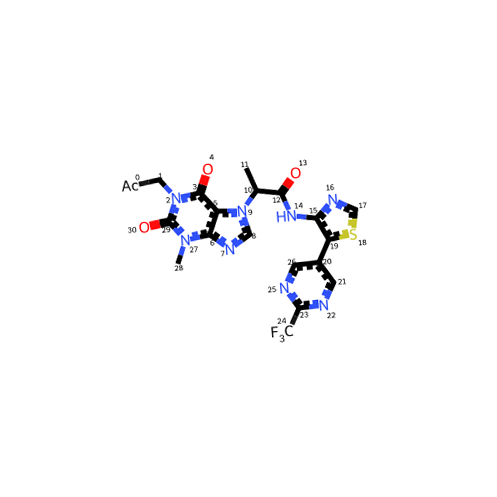 CC(=O)Cn1c(=O)c2c(ncn2C(C)C(=O)Nc2ncsc2-c2cnc(C(F)(F)F)nc2)n(C)c1=O